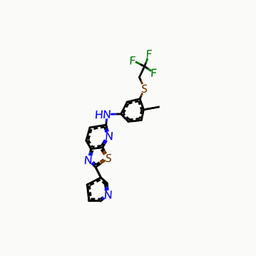 Cc1ccc(Nc2ccc3nc(-c4cccnc4)sc3n2)cc1SCC(F)(F)F